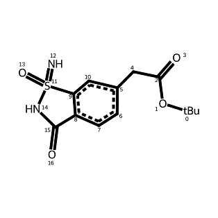 CC(C)(C)OC(=O)Cc1ccc2c(c1)S(=N)(=O)NC2=O